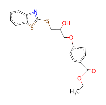 CCOC(=O)c1ccc(OCC(O)CSc2nc3ccccc3s2)cc1